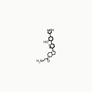 NCCC(=O)N1CCC2C(CCN2c2ccc(-c3ccc(-c4cn[nH]c4)cc3O)nn2)C1